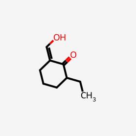 CCC1CCCC(=CO)C1=O